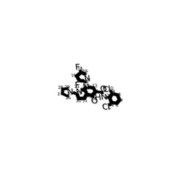 O=C(Nc1c(Cl)cccc1Cl)c1cn(-c2ncc(F)cc2F)c2nc(N3CCCC3)ccc2c1=O